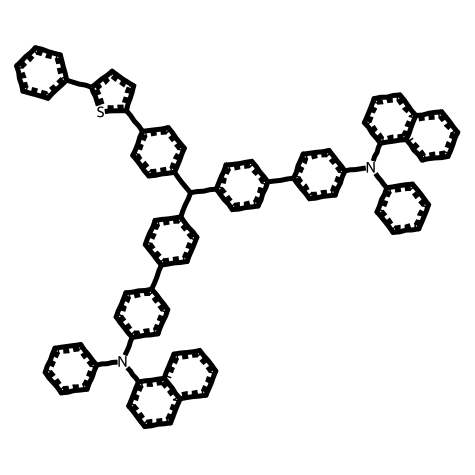 c1ccc(-c2ccc(-c3ccc(C(c4ccc(-c5ccc(N(c6ccccc6)c6cccc7ccccc67)cc5)cc4)c4ccc(-c5ccc(N(c6ccccc6)c6cccc7ccccc67)cc5)cc4)cc3)s2)cc1